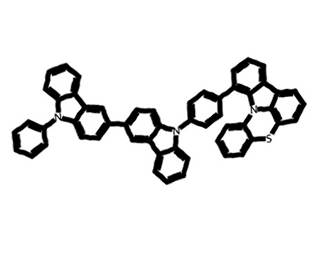 c1ccc(-n2c3ccccc3c3cc(-c4ccc5c(c4)c4ccccc4n5-c4ccc(-c5cccc6c7cccc8c7n(c56)-c5ccccc5S8)cc4)ccc32)cc1